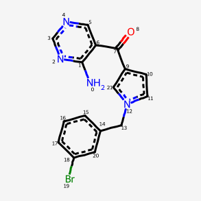 Nc1ncncc1C(=O)c1ccn(Cc2cccc(Br)c2)c1